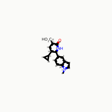 Cn1ccc2cc(-c3[nH]c(=O)c(C(=O)O)cc3C3CC3)ccc21